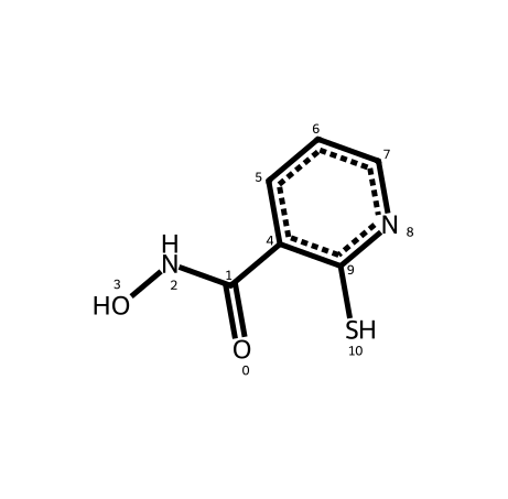 O=C(NO)c1cccnc1S